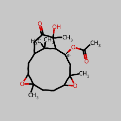 CC(=O)O[C@H]1CC2(C)OC2CCC2(C)OC2CC2CC(=O)C(C)(O)C1C2(C)C